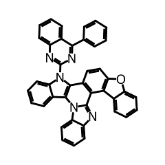 c1ccc(-c2nc(-n3c4ccccc4c4c3c3ccc5oc6ccccc6c5c3c3nc5ccccc5n34)nc3ccccc23)cc1